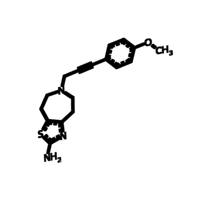 COc1ccc(C#CCN2CCc3nc(N)sc3CC2)cc1